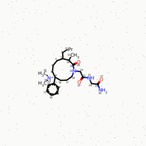 CC(C)CC1CCC[C@@](c2ccccc2)(N(C)C)CCCN(CC(=O)NCC(N)=O)C(=O)C1C